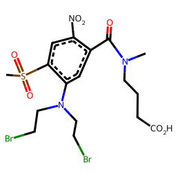 CN(CCCC(=O)O)C(=O)c1cc(N(CCBr)CCBr)c(S(C)(=O)=O)cc1[N+](=O)[O-]